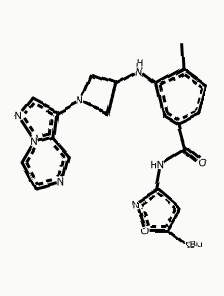 Cc1ccc(C(=O)Nc2cc(C(C)(C)C)on2)cc1NC1CN(c2cnn3ccncc23)C1